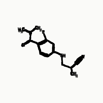 CC(C#N)CNc1ccc(C(=O)N(C)C)c(F)c1